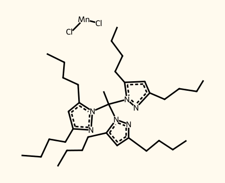 CCCCc1cc(CCCC)n(C(C)(n2nc(CCCC)cc2CCCC)n2nc(CCCC)cc2CCCC)n1.[Cl][Mn][Cl]